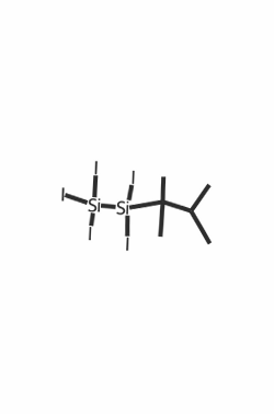 CC(C)C(C)(C)[Si](I)(I)[Si](I)(I)I